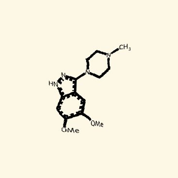 COc1cc2[nH]nc(N3CCN(C)CC3)c2cc1OC